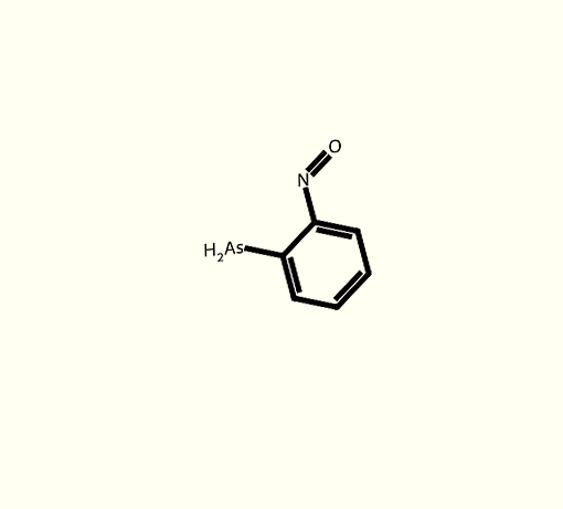 O=Nc1ccccc1[AsH2]